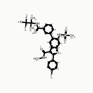 CNC(=O)c1c(-c2ccc(F)cc2)oc2cc(NS(C)(=O)=O)c(-c3cccc(C(=O)NC(C)(C)C(F)(F)F)c3)cc12